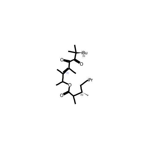 CC[C@H](C)C(C)(C)C(=O)C(=O)/C(C)=C(\C)C(C)OC(=O)C(C)[C@@H](C)CC(C)C